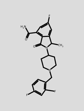 CC1c2cc(F)cc(C(N)=O)c2C(=O)N1C1CCN(Cc2ccc(F)cc2F)CC1